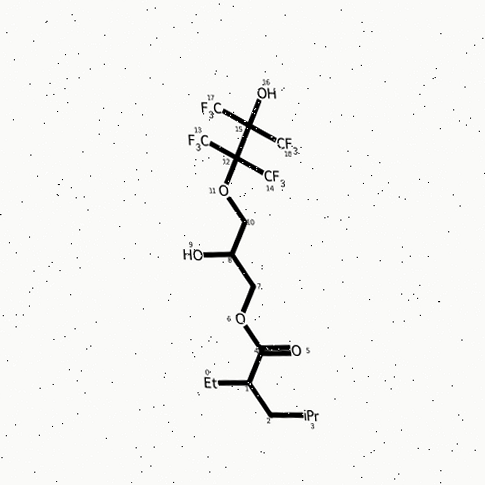 CCC(CC(C)C)C(=O)OCC(O)COC(C(F)(F)F)(C(F)(F)F)C(O)(C(F)(F)F)C(F)(F)F